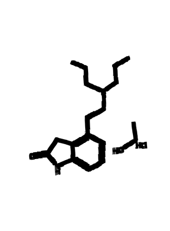 CCCN(CCC)CCc1cccc2c1CC(=O)N2.CCO.Cl